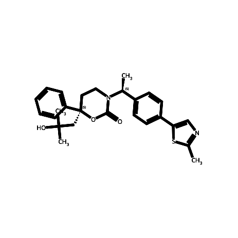 Cc1ncc(-c2ccc([C@H](C)N3CC[C@](CC(C)(C)O)(c4ccccc4)OC3=O)cc2)s1